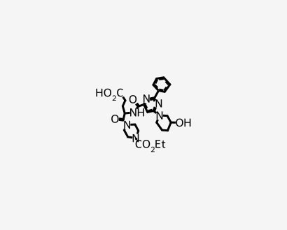 CCOC(=O)N1CCN(C(=O)C(CCC(=O)O)NC(=O)c2cc(N3CCCC(O)C3)nc(-c3ccccc3)n2)CC1